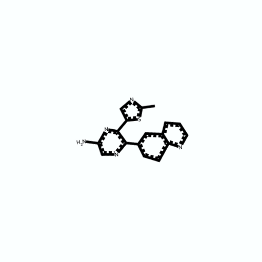 Cc1ncc(-c2nc(N)cnc2-c2ccc3ncccc3c2)s1